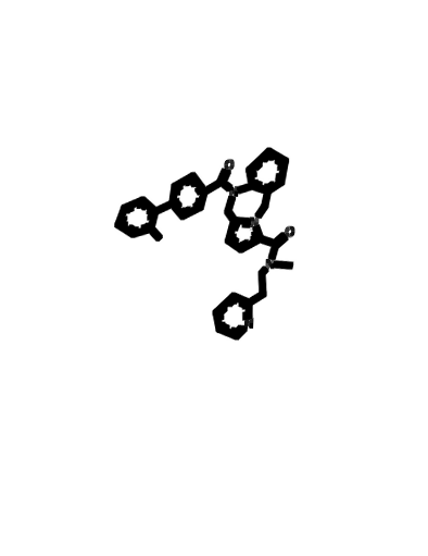 Cc1ccccc1-c1ccc(C(=O)N2Cc3ccc(C(=O)N(C)CCc4ccccn4)n3Cc3ccccc32)cc1